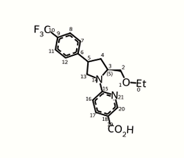 CCOC[C@@H]1CC(c2ccc(C(F)(F)F)cc2)CN1c1ccc(C(=O)O)cn1